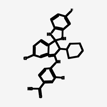 O=C(O)c1ccc(NC(=O)C(C2CCCCC2)C2(c3ccc(Cl)cc3)Nc3ccc(F)cc3N2)c(Cl)c1